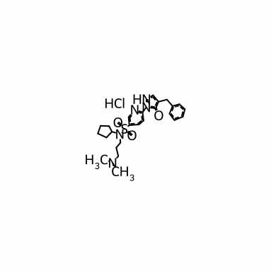 CN(C)CCCN(C1CCCC1)S(=O)(=O)c1ccc(-n2[nH]cc(Cc3ccccc3)c2=O)nc1.Cl